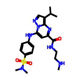 CNCCNC(=O)c1cc(Nc2ccc(S(=O)(=O)N(C)C)cc2)n2ncc(C(C)C)c2n1